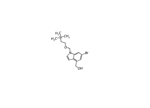 C[Si](C)(C)CCOCn1ccc2c(CO)cc(Br)cc21